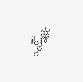 O=C(C1CCN1S(=O)(=O)c1c(F)c(F)c(F)c(F)c1F)N(Cc1ccc(C2CCCCC2)cn1)c1ccc2nn[nH]c2c1